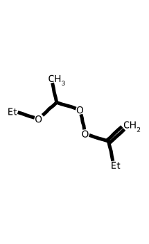 C=C(CC)OOC(C)OCC